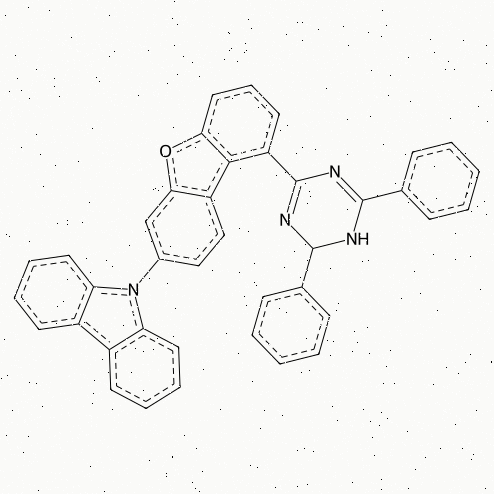 c1ccc(C2=NC(c3cccc4oc5cc(-n6c7ccccc7c7ccccc76)ccc5c34)=NC(c3ccccc3)N2)cc1